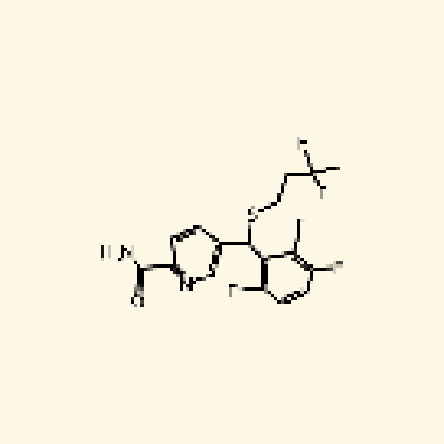 CC(F)(F)CCSC(c1ccc(C(N)=O)nc1)c1c(F)ccc(F)c1F